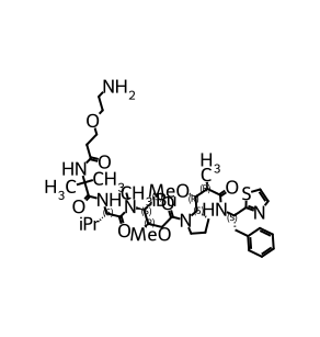 CC[C@H](C)[C@@H]([C@@H](CC(=O)N1CCC[C@H]1[C@H](OC)[C@@H](C)C(=O)N[C@@H](Cc1ccccc1)c1nccs1)OC)N(C)C(=O)[C@@H](NC(=O)C(C)(C)NC(=O)CCOCCN)C(C)C